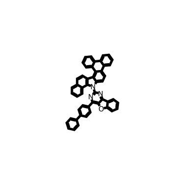 c1ccc(-c2ccc(-c3nc(-n4c5ccc6c7ccccc7c7ccccc7c6c5c5ccc6ccccc6c54)nc4c3oc3ccccc34)cc2)cc1